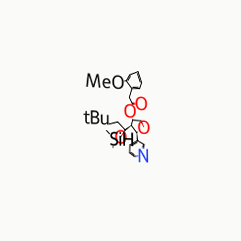 COc1ccccc1CC(=O)O[C@@H]1CO[C@@H](c2cccnc2)[C@H]1C(CCC(C)(C)C)O[SiH](C)C